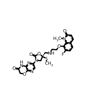 CS[C@]1(CNCCOc2c(F)ccc3ccc(=O)n(C)c23)CN(c2cnc3c(n2)NC(=O)CO3)C(=O)O1